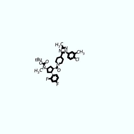 Cc1nc(C2CCN(C(=O)[C@@H]3C[C@@H](N(C)C(=O)OC(C)(C)C)C[C@H]3c3ccc(F)cc3F)CC2)n(-c2ccc(Cl)c(C)c2)n1